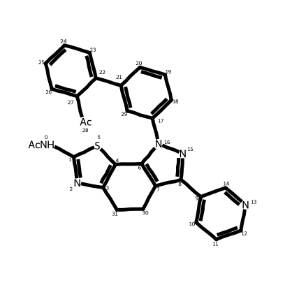 CC(=O)Nc1nc2c(s1)-c1c(c(-c3cccnc3)nn1-c1cccc(-c3ccccc3C(C)=O)c1)CC2